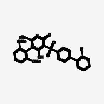 CCCCc1nc(=O)c(S(=O)(=O)c2ccc(-c3ccccc3F)cc2)c(O)n1-c1c(OC)cccc1OC